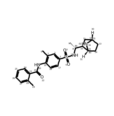 Cc1cc(S(=O)(=O)N[C@H](C)[C@H]2C[C@@H]3CC[C@H]2N3)ccc1NC(=O)c1ccccc1C